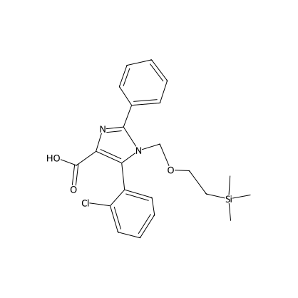 C[Si](C)(C)CCOCn1c(-c2ccccc2)nc(C(=O)O)c1-c1ccccc1Cl